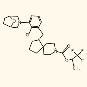 CC(OC(=O)N1CCC2(CCCN2Cc2cccc(N3CC4CCC(C3)O4)c2Cl)CC1)C(F)(F)F